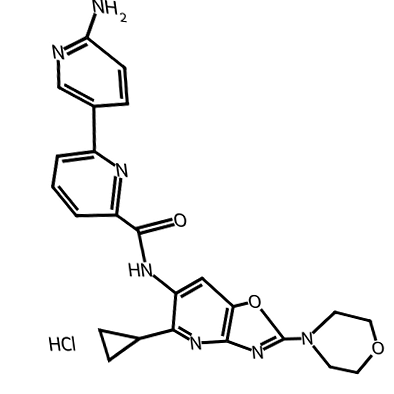 Cl.Nc1ccc(-c2cccc(C(=O)Nc3cc4oc(N5CCOCC5)nc4nc3C3CC3)n2)cn1